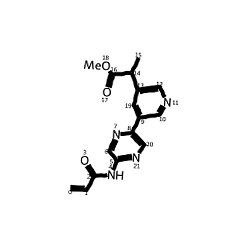 C=CC(=O)Nc1cnc(-c2cncc(C(C)C(=O)OC)c2)cn1